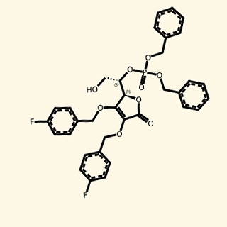 O=C1O[C@H]([C@H](CO)OP(=O)(OCc2ccccc2)OCc2ccccc2)C(OCc2ccc(F)cc2)=C1OCc1ccc(F)cc1